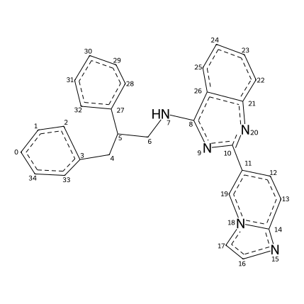 c1ccc(CC(CNc2nc(-c3ccc4nccn4c3)nc3ccccc23)c2ccccc2)cc1